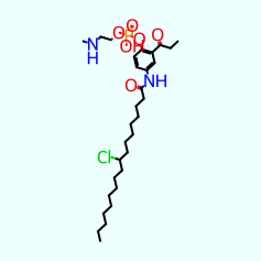 CCCCCCCCCC(Cl)CCCCCCCC(=O)Nc1ccc(OP(=O)(O)OCCNC)c(C(=O)CC)c1